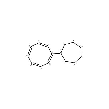 C1=CC=CC(N2CCCCCC2)=CC=C1